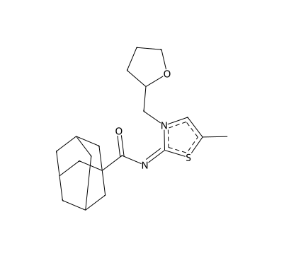 Cc1cn(CC2CCCO2)c(=NC(=O)C23CC4CC(CC(C4)C2)C3)s1